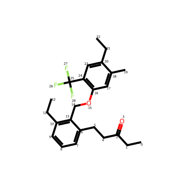 CCC(=O)CCc1cccc(CC)c1COc1cc(C)c(CC)cc1C(F)(F)F